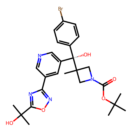 CC(C)(C)OC(=O)N1CC(C)([C@](O)(c2ccc(Br)cc2)c2cncc(-c3noc(C(C)(C)O)n3)c2)C1